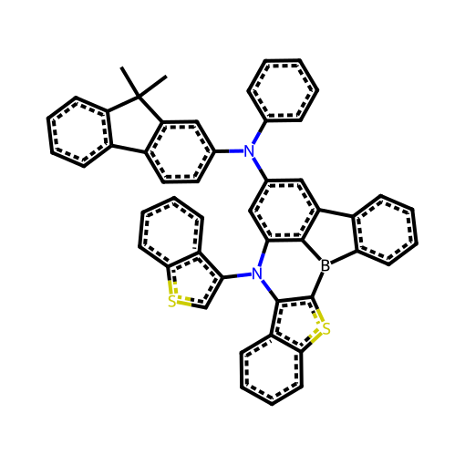 CC1(C)c2ccccc2-c2ccc(N(c3ccccc3)c3cc4c5c(c3)N(c3csc6ccccc36)c3c(sc6ccccc36)B5c3ccccc3-4)cc21